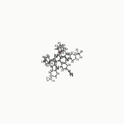 CC(C)(C)c1ccc2c(c1)c1cc(C(C)(C)C)ccc1n2-c1cc(C#N)cc(-n2c3ccc(C(C)(C)C)cc3c3cc(C(C)(C)C)ccc32)c1-c1cc(-c2ccccc2)nc(-c2ccccc2)c1